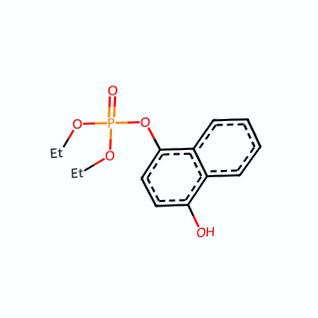 CCOP(=O)(OCC)Oc1ccc(O)c2ccccc12